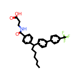 CCCCCCC(c1ccc(C(=O)NCCC(=O)O)cc1)c1ccc(-c2ccc(C(F)(F)F)cc2)cc1